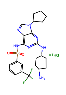 Cl.Cl.N[C@H]1CC[C@H](Nc2nc(NS(=O)(=O)c3cccc(C(F)(F)F)c3)c3ncn(C4CCCC4)c3n2)CC1